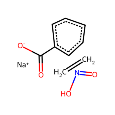 C=C.O=C([O-])c1ccccc1.O=NO.[Na+]